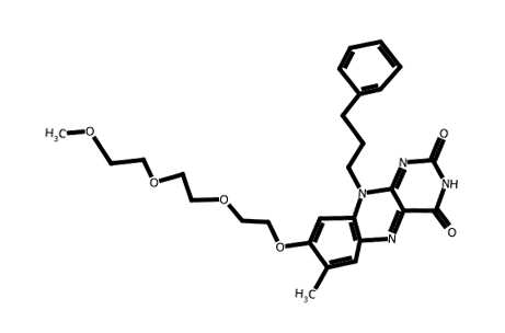 COCCOCCOCCOc1cc2c(cc1C)nc1c(=O)[nH]c(=O)nc-1n2CCCc1ccccc1